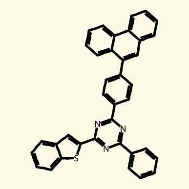 c1ccc(-c2nc(-c3ccc(-c4cc5ccccc5c5ccccc45)cc3)nc(-c3cc4ccccc4s3)n2)cc1